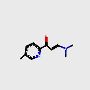 Cc1ccc(C(=O)/C=C/N(C)C)nc1